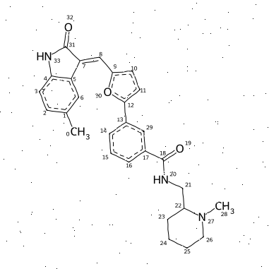 Cc1ccc2c(c1)/C(=C\c1ccc(-c3cccc(C(=O)NCC4CCCCN4C)c3)o1)C(=O)N2